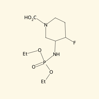 CCOP(=O)(NC1CN(C(=O)O)CCC1F)OCC